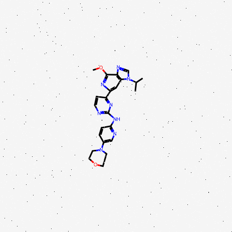 COc1nc(-c2ccnc(Nc3ccc(N4CCOCC4)cn3)n2)cc2c1ncn2C(C)C